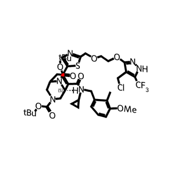 COc1cccc(CN(C(=O)C2=C(c3cnc(COCCOc4n[nH]c(C(F)(F)F)c4CCl)s3)CC3CN(C(=O)OC(C)(C)C)C[C@H]2N3C(=O)OC(C)(C)C)C2CC2)c1C